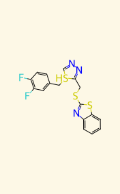 Fc1ccc(C[SH]2C=NN=C2CSc2nc3ccccc3s2)cc1F